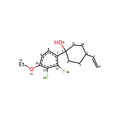 C=CC1CCC(O)(c2ccc(OCC)c(F)c2F)CC1